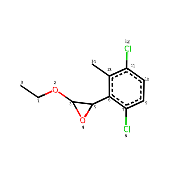 CCOC1OC1c1c(Cl)ccc(Cl)c1C